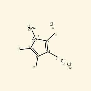 CC1=C(C)[As]([Zr+3])C(C)=C1C.[Cl-].[Cl-].[Cl-]